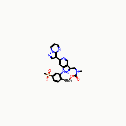 COc1ccc(S(C)(=O)=O)cc1-n1nc(CN(C)C(=O)OC(C)(C)C)c2cnc(-c3cnn4cccnc34)cc21